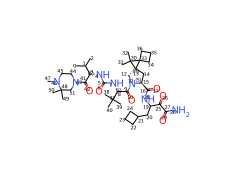 CC(C)[C@H](NC(=O)N[C@H](C(=O)N1C[C@]2(C[C@H]1C(=O)NC(CC1CCC1)C(=O)C(N)=O)C(C)(C)C21CCC1)C(C)(C)C)C(=O)N1CCN(C)C(C)(C)C1